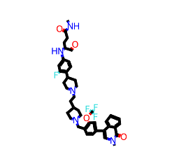 CNC(=O)CCC(C=O)Nc1ccc(C2CCN(CCC3CCN(Cc4ccc(-c5cn(C)c(=O)c6ccccc56)cc4OC(F)(F)F)CC3)CC2)c(F)c1